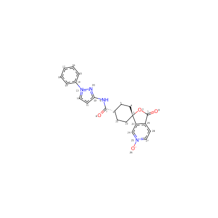 O=C1O[C@]2(CC[C@@H](C(=O)Nc3ccn(-c4ccccc4)n3)CC2)c2c[n+]([O-])ccc21